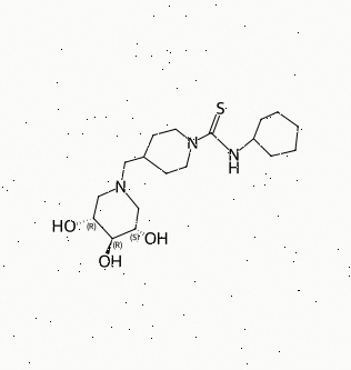 O[C@H]1[C@H](O)CN(CC2CCN(C(=S)NC3CCCCC3)CC2)C[C@@H]1O